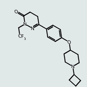 O=C1CCC(c2ccc(OC3CCN(C4CCC4)CC3)cc2)=NN1CC(F)(F)F